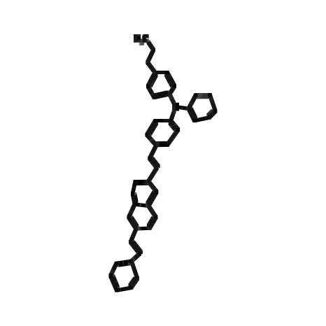 CCCc1ccc(N(c2ccccc2)c2ccc(/C=C/c3ccc4cc(/C=C/c5ccccc5)ccc4c3)cc2)cc1